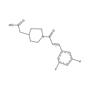 O=C(O)CC1CCN(C(=O)/C=C/c2cc(F)cc(F)c2)CC1